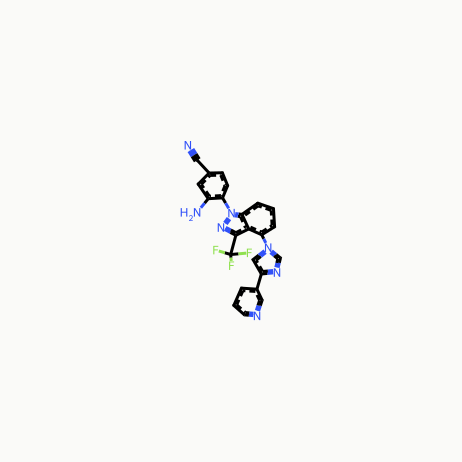 N#Cc1ccc(-n2nc(C(F)(F)F)c3c(-n4cnc(-c5cccnc5)c4)cccc32)c(N)c1